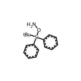 CC(C)(C)[Si](ON)(c1ccccc1)c1ccccc1